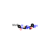 COc1ccc(C(=O)NCc2cc3nc(N4CCOC(c5cccc6[nH]ncc56)C4)ncc3s2)cc1